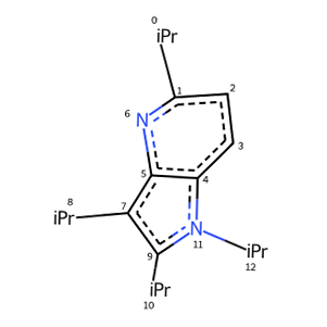 CC(C)c1ccc2c(n1)c(C(C)C)c(C(C)C)n2C(C)C